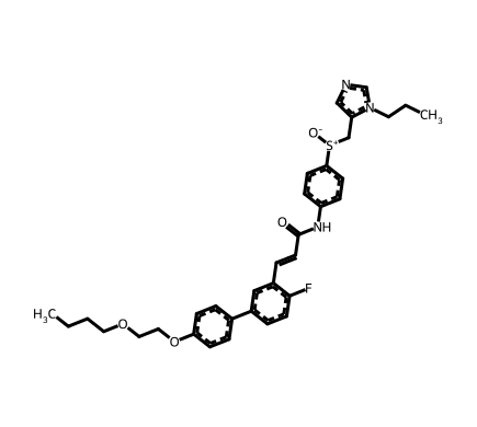 CCCCOCCOc1ccc(-c2ccc(F)c(/C=C/C(=O)Nc3ccc([S+]([O-])Cc4cncn4CCC)cc3)c2)cc1